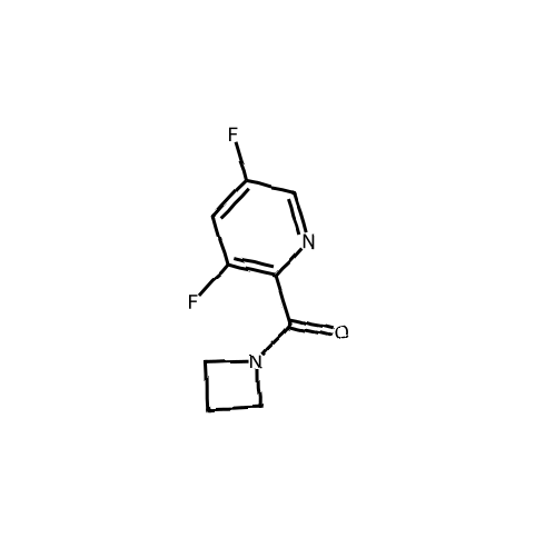 O=C(c1ncc(F)cc1F)N1CCC1